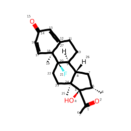 [CH2]C(=O)[C@@]1(O)[C@@H](C)C[C@H]2[C@@H]3CCC4=CC(=O)C=C[C@]4(C)[C@@]3(F)CC[C@@]21C